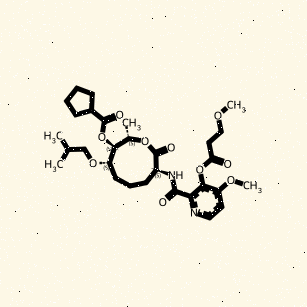 COCCC(=O)Oc1c(OC)ccnc1C(=O)N[C@H]1CCC[C@H](OCC(C)C)[C@@H](OC(=O)C2CCCC2)[C@H](C)OC1=O